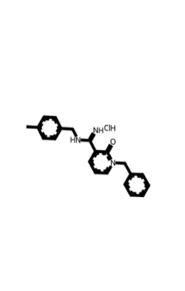 Cc1ccc(CNC(=N)c2cccn(Cc3ccccc3)c2=O)cc1.Cl